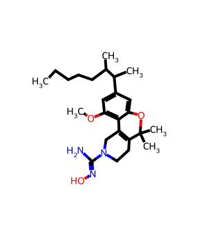 CCCCCC(C)C(C)c1cc(OC)c2c(c1)OC(C)(C)C1=C2CN(C(N)=NO)CC1